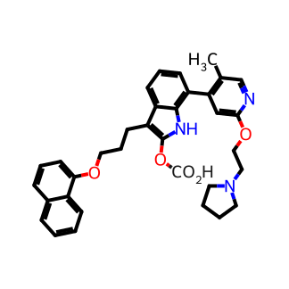 Cc1cnc(OCCN2CCCC2)cc1-c1cccc2c(CCCOc3cccc4ccccc34)c(OC(=O)O)[nH]c12